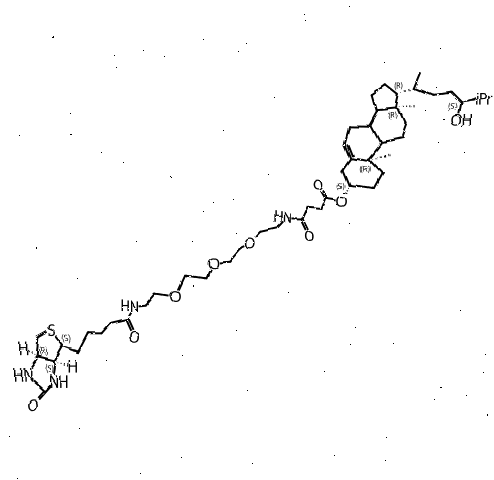 CC(CC[C@H](O)C(C)C)[C@H]1CCC2C3CC=C4C[C@@H](OC(=O)CCC(=O)NCCOCCOCCOCCNC(=O)CCCC[C@@H]5SC[C@@H]6NC(=O)N[C@@H]65)CC[C@]4(C)C3CC[C@@]21C